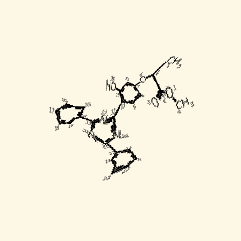 COC(=O)C(C)Oc1ccc(-c2nc(-c3ccccc3)nc(-c3ccccc3)n2)c(O)c1